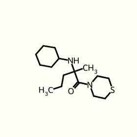 CCCC(C)(NC1CCCCC1)C(=O)N1CCSCC1